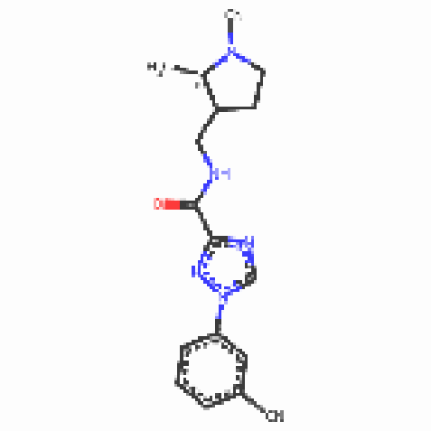 C[C@@H]1C(CNC(=O)c2ncn(-c3cccc(C#N)c3)n2)CCN1C#N